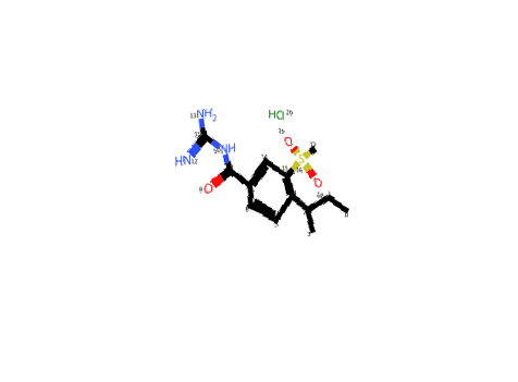 CCC(C)c1ccc(C(=O)NC(=N)N)cc1S(C)(=O)=O.Cl